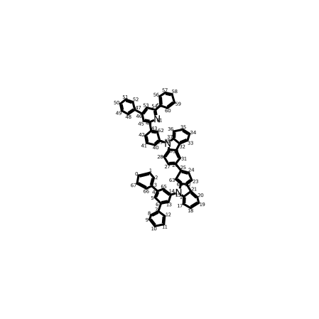 c1ccc(-c2cc(-c3ccccc3)cc(-n3c4ccccc4c4ccc(-c5ccc6c(c5)c5ccccc5n6-c5cccc(-c6cc(-c7ccccc7)cc(-c7ccccc7)n6)c5)cc43)c2)cc1